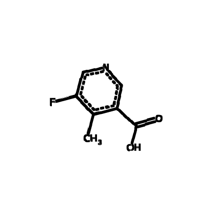 Cc1c(F)cncc1C(=O)O